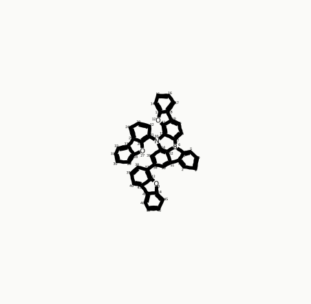 c1ccc2c(c1)B1c3ccc4c(oc5ccccc54)c3N(c3cccc4c3oc3ccccc34)c3cc(-c4cccc5c4oc4ccccc45)cc-2c31